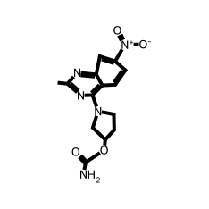 Cc1nc(N2CCC(OC(N)=O)C2)c2ccc([N+](=O)[O-])cc2n1